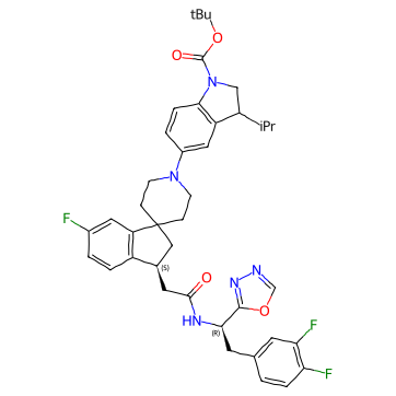 CC(C)C1CN(C(=O)OC(C)(C)C)c2ccc(N3CCC4(CC3)C[C@@H](CC(=O)N[C@H](Cc3ccc(F)c(F)c3)c3nnco3)c3ccc(F)cc34)cc21